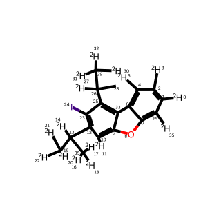 [2H]c1c([2H])c([2H])c2c(oc3c([2H])c(C([2H])(C([2H])([2H])[2H])C([2H])([2H])[2H])c(I)c(C([2H])(C)C([2H])([2H])[2H])c32)c1[2H]